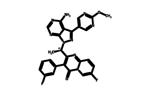 COc1ncc(-c2nn([C@H](C)c3nc4ccc(F)cn4c(=O)c3-c3cccc(F)c3)c3ncnc(N)c23)cn1